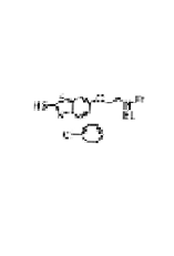 CCN(CC)CCOc1ccc2nc(S)sc2c1.Clc1ccccc1